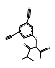 CC(=O)C(Oc1cc(C#N)cc(C#N)c1)C(=O)C(C)C